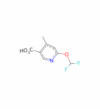 Cc1cc(OC(F)F)ncc1C(=O)O